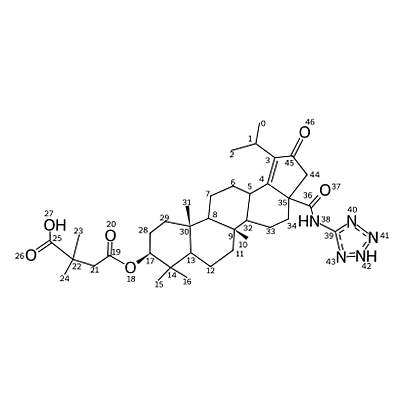 CC(C)C1=C2C3CCC4[C@@](C)(CCC5C(C)(C)[C@@H](OC(=O)CC(C)(C)C(=O)O)CC[C@@]54C)C3CCC2(C(=O)Nc2nn[nH]n2)CC1=O